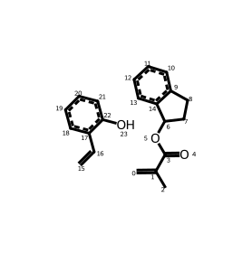 C=C(C)C(=O)OC1CCc2ccccc21.C=Cc1ccccc1O